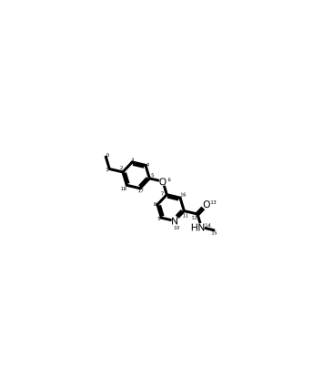 CCc1ccc(Oc2ccnc(C(=O)NC)c2)cc1